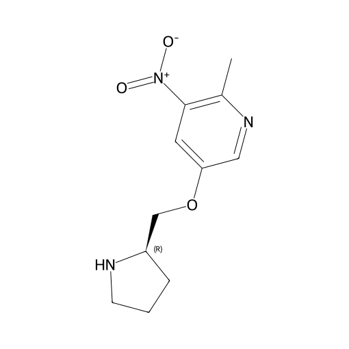 Cc1ncc(OC[C@H]2CCCN2)cc1[N+](=O)[O-]